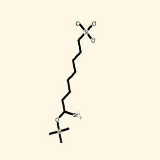 C[Si](C)(C)OC([SiH3])CCCCCCC[Si](Cl)(Cl)Cl